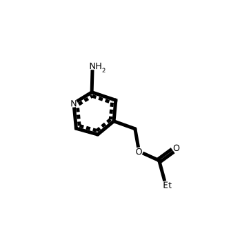 CCC(=O)OCc1ccnc(N)c1